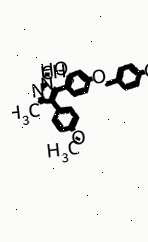 COc1ccc(-c2c(C)nn(C)c2-c2ccc(OCc3ccc(Cl)cc3)cc2O)cc1